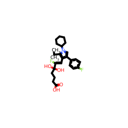 CC(C)c1c(C=C(F)C(O)(O)CCCC(=O)O)c(-c2ccc(F)cc2)cn1C1CCCCC1